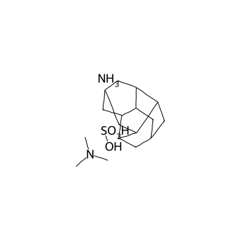 C1C2CC3C4CC5CC(C14)C(C2)C3C5.CN(C)C.N.O=S(=O)(O)O